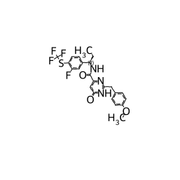 CC[C@@H](NC(=O)c1cc(=O)[nH]c(Cc2ccc(OC)cc2)n1)c1ccc(SC(F)(F)F)c(F)c1